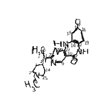 CN1CCC(N(C)c2ncc3c(n2)Nc2cc(Cl)ccc2NC3=O)CC1